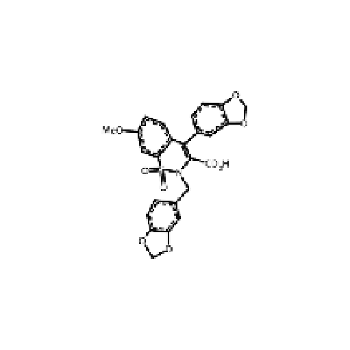 COc1ccc2c(c1)S(=O)(=O)N(Cc1ccc3c(c1)OCO3)C(C(=O)O)=C2c1ccc2c(c1)OCO2